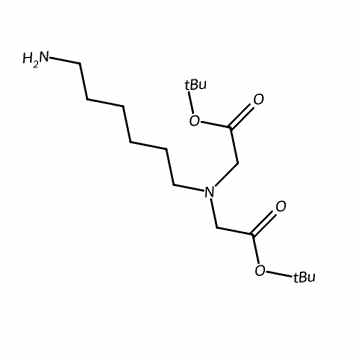 CC(C)(C)OC(=O)CN(CCCCCCN)CC(=O)OC(C)(C)C